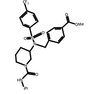 COC(=O)c1ccc(CN(C2CCCN(C(=O)NC(C)C)C2)S(=O)(=O)c2ccc(C(F)(F)F)cc2)cc1